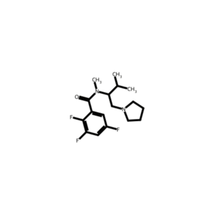 CC(C)C(CN1CCCC1)N(C)C(=O)c1cc(F)cc(F)c1F